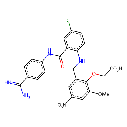 COc1cc([N+](=O)[O-])cc(CNc2ccc(Cl)cc2C(=O)Nc2ccc(C(=N)N)cc2)c1OCC(=O)O